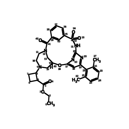 CCOC(=O)C1CCC1N1CCN2C[C@@H](C1)Oc1cc(-c3c(C)cccc3C)nc(n1)NS(=O)(=O)c1cccc(c1)C2=O